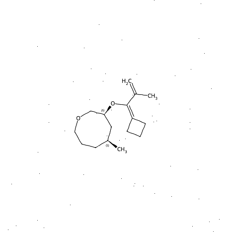 C=C(C)C(O[C@@H]1COCCC[C@H](C)C1)=C1CCC1